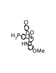 COc1ccc2[nH]c3c(c2c1)CCN(C(=O)Oc1ccc(Cl)cc1)C3c1ccc(P)cc1